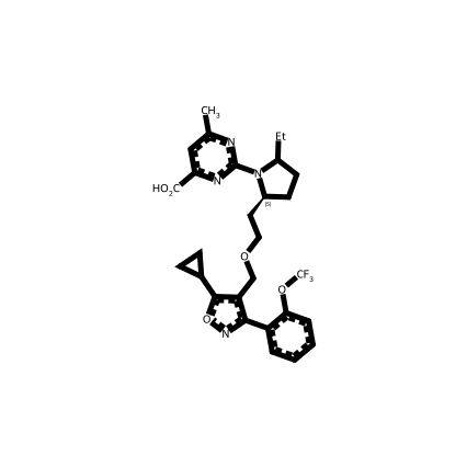 CCC1CC[C@@H](CCOCc2c(-c3ccccc3OC(F)(F)F)noc2C2CC2)N1c1nc(C)cc(C(=O)O)n1